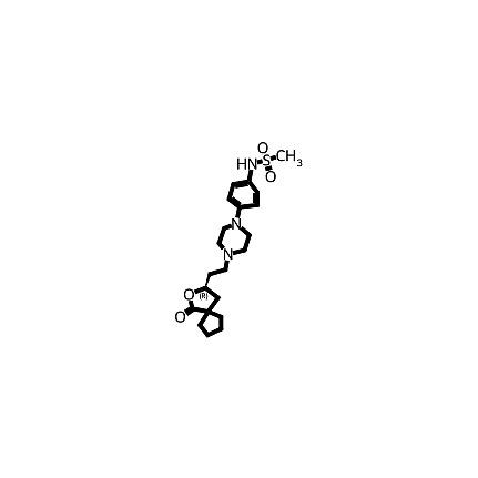 CS(=O)(=O)Nc1ccc(N2CCN(CC[C@H]3CC4(CCCC4)C(=O)O3)CC2)cc1